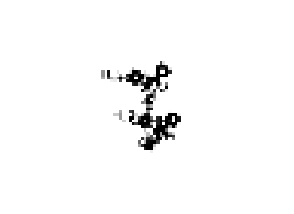 COc1ccc(NC2=C(c3ccccc3)C(=O)N(CCC(F)(F)F)C2=O)cc1.COc1ccc(NC2=C(c3ccccc3)C(=O)N(Cc3ccoc3)C2=O)cc1